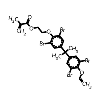 C=COc1c(Br)cc(C(C)(C)c2cc(Br)c(OCCOC(=O)C(=C)C)c(Br)c2)cc1Br